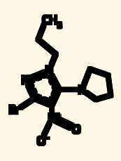 CCCn1nc(Br)c([N+](=O)[O-])c1N1CCCC1